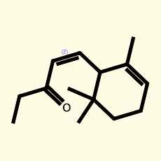 CCC(=O)/C=C\C1C(C)=CCCC1(C)C